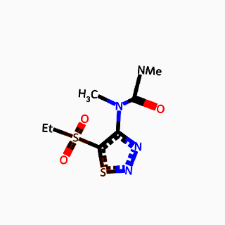 CCS(=O)(=O)c1snnc1N(C)C(=O)NC